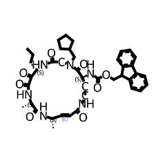 CCC[C@@H]1NC(=O)CN(CC2CCCC2)C(=O)[C@@H](NC(=O)OCC2c3ccccc3-c3ccccc32)CCNC(=O)/C=C/[C@H](C)NC(=O)[C@H](C)NC(=O)C1=O